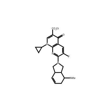 CCOC(=O)c1cn(C2CC2)c2nc(N3CC4C=CCC(NC)C4C3)c(F)cc2c1=O